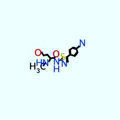 CNCC(CCC=O)C(=O)Nc1ncc(-c2ccc(C#N)cc2)s1